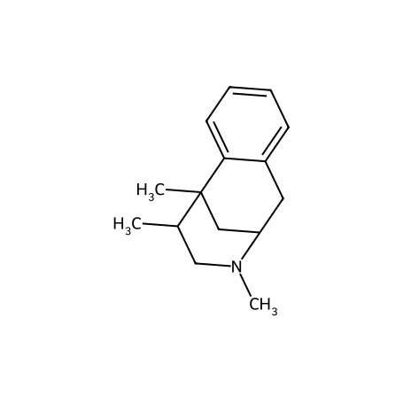 CC1CN(C)C2Cc3ccccc3C1(C)C2